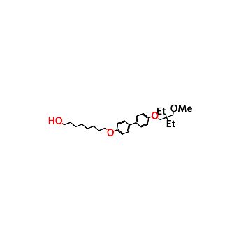 CCC(CC)(COC)COc1ccc(-c2ccc(OCCCCCCCCO)cc2)cc1